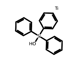 O[Si](c1ccccc1)(c1ccccc1)c1ccccc1.[Ti]